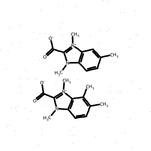 Cc1ccc2c(c1)[n+](C)c(C(=O)[O-])n2C.Cc1ccc2c(c1C)[n+](C)c(C(=O)[O-])n2C